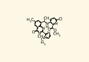 COC(=O)c1nc(Cl)ccc1N[C@H](C)c1cc(C)cc2c(=O)n(C)c(-c3nccn3C)nc12